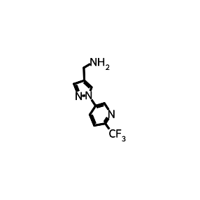 NCc1cnn(-c2ccc(C(F)(F)F)nc2)c1